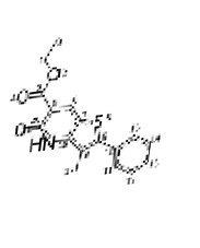 CCOC(=O)c1cc2sc(-c3ccccc3)c(C)c2[nH]c1=O